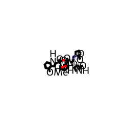 COc1cccc2[nH]c(C(=O)N3[C@H]4CC[C@@H]([C@@H]3C(=O)N[C@H](/C=C3/CCOC3=O)C[C@@H]3CCNC3=O)C(F)(F)C4)cc12